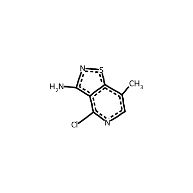 Cc1cnc(Cl)c2c(N)nsc12